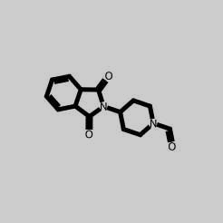 O=CN1CCC(N2C(=O)C3C=CC=CC3C2=O)CC1